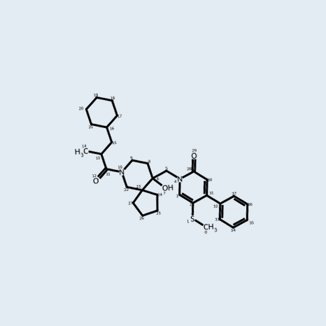 CSc1cn(CC2(O)CCN(C(=O)C(C)CC3CCCCC3)CC23CCCC3)c(=O)cc1-c1ccccc1